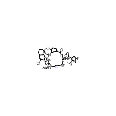 CO[C@H]1/C=C/C[C@H](C)C[S@@](=O)(NC(=O)c2cn(C)nc2N(C)C)=NC(=O)c2ccc3c(c2)N(C[C@@H]2CC[C@H]21)C[C@@]1(CCCc2cc(Cl)ccc21)CO3